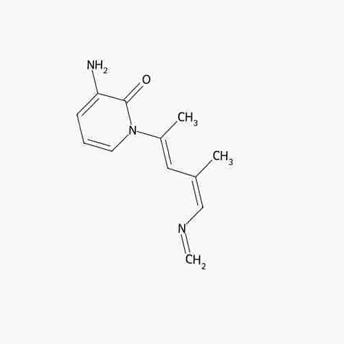 C=N/C=C(C)\C=C(/C)n1cccc(N)c1=O